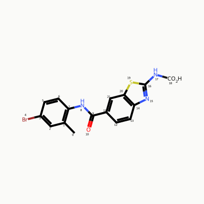 Cc1cc(Br)ccc1NC(=O)c1ccc2nc(NC(=O)O)sc2c1